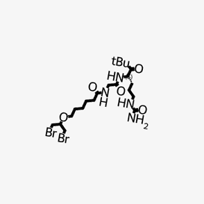 CC(C)(C)C(=O)[C@H](CCCNC(N)=O)NC(=O)CNC(=O)CCCCCOC(CBr)CBr